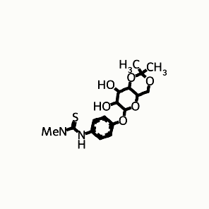 CNC(=S)Nc1ccc(OC2OC3COC(C)(C)OC3C(O)C2O)cc1